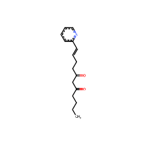 CCCCC(=O)CC(=O)CCC=Cc1ccccn1